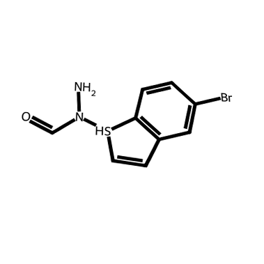 NN(C=O)[SH]1C=Cc2cc(Br)ccc21